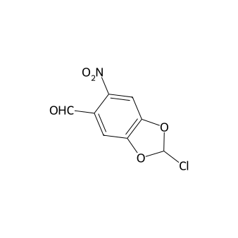 O=Cc1cc2c(cc1[N+](=O)[O-])OC(Cl)O2